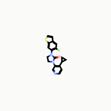 O=C1N(c2cc3sccc3cc2F)CCN1c1cnccc1C1CC1